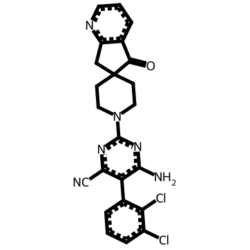 N#Cc1nc(N2CCC3(CC2)Cc2ncccc2C3=O)nc(N)c1-c1cccc(Cl)c1Cl